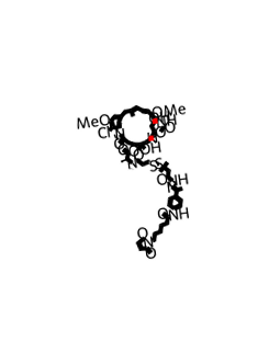 COc1cc2cc(c1Cl)N(C)C(=O)C[C@H](OC(=O)[C@H](C)N(C)C(=O)CCSSC(C)(C)CC(=O)N/N=C(\C)c1ccc(NC(=O)CCCCCN3C(=O)C=CC3=O)cc1)C(C)(O)C[C@H](C)[C@@H]1C[C@@](O)(NC(=O)O1)[C@H](OC)/C=C/C=C(\C)C2